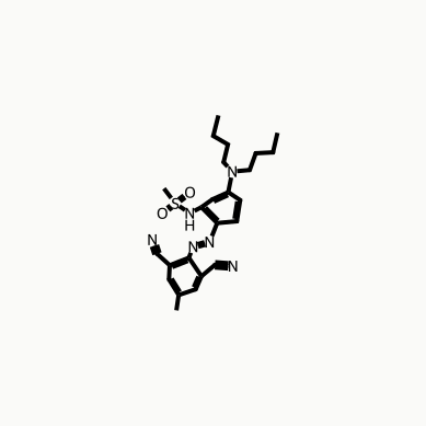 CCCCN(CCCC)c1ccc(/N=N/c2c(C#N)cc(C)cc2C#N)c(NS(C)(=O)=O)c1